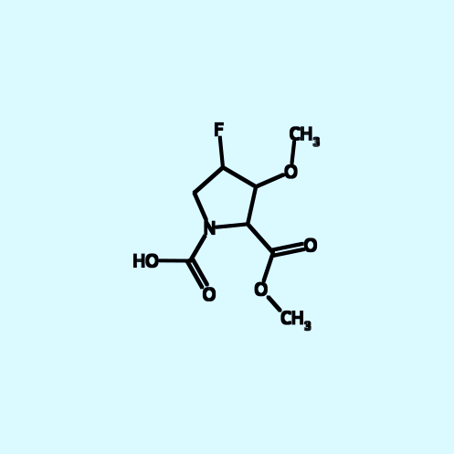 COC(=O)C1C(OC)C(F)CN1C(=O)O